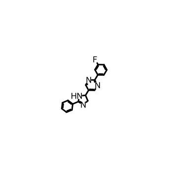 Fc1cccc(-c2ncc(C3CN=C(c4ccccc4)N3)cn2)c1